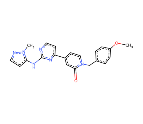 COc1ccc(Cn2ccc(-c3ccnc(Nc4ccnn4C)n3)cc2=O)cc1